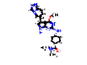 COc1nc(N[C@H]2CC[C@@H](C(=O)N(C)C)CC2)nc2[nH]cc(-c3ccc4nncn4c3)c12